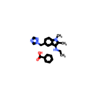 CCNc1c(C)n(C)c2ccc(Cn3cncn3)cc12.O=C(O)c1ccccc1